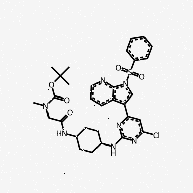 CN(CC(=O)NC1CCC(Nc2nc(Cl)cc(-c3cn(S(=O)(=O)c4ccccc4)c4ncccc34)n2)CC1)C(=O)OC(C)(C)C